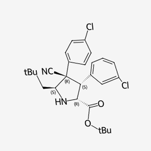 CC(C)(C)C[C@@H]1N[C@@H](C(=O)OC(C)(C)C)[C@@H](c2cccc(Cl)c2)[C@@]1(C#N)c1ccc(Cl)cc1